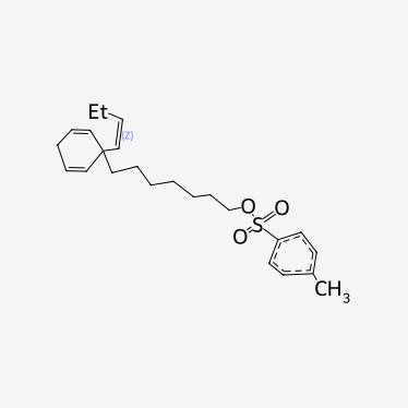 CC/C=C\C1(CCCCCCCOS(=O)(=O)c2ccc(C)cc2)C=CCC=C1